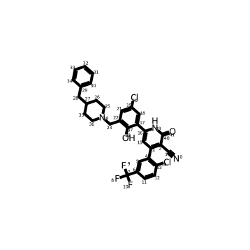 N#Cc1c(-c2cc(C(F)(F)F)ccc2Cl)cc(-c2cc(Cl)cc(CN3CCC(Cc4ccccc4)CC3)c2O)[nH]c1=O